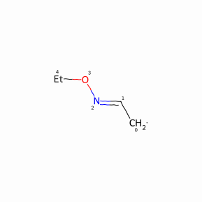 [CH2]C=NOCC